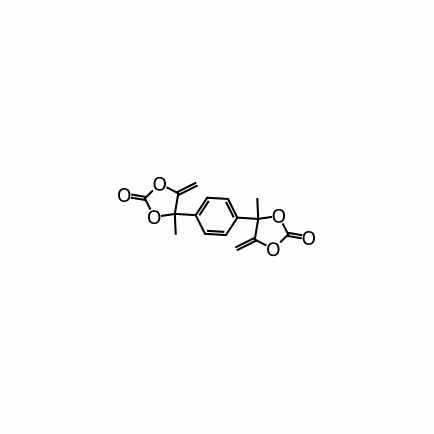 C=C1OC(=O)OC1(C)c1ccc(C2(C)OC(=O)OC2=C)cc1